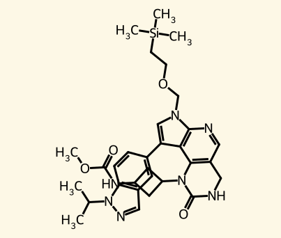 COC(=O)NC1CC(N2C(=O)NCc3cnc4c(c(-c5ccc6c(cnn6C(C)C)c5)cn4COCC[Si](C)(C)C)c32)C1